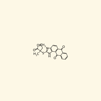 CCC(C)(Sc1nc2ccc3c(c2[nH]1)C(=O)c1ccccc1C3=O)C(=O)O